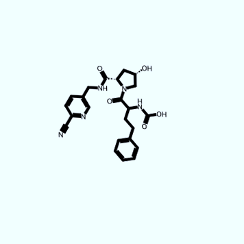 N#Cc1ccc(CNC(=O)[C@@H]2C[C@H](O)CN2C(=O)C(CCc2ccccc2)NC(=O)O)cn1